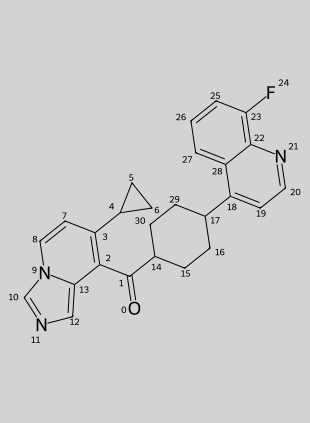 O=C(c1c(C2CC2)ccn2cncc12)C1CCC(c2ccnc3c(F)cccc23)CC1